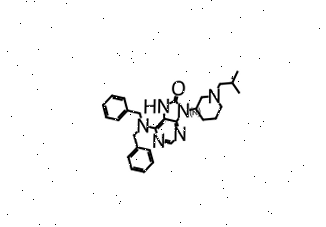 C[C](C)CN1CCC[C@@H](n2c(=O)[nH]c3c(N(Cc4ccccc4)Cc4ccccc4)ncnc32)C1